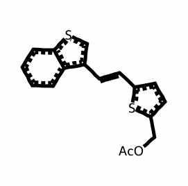 CC(=O)OCc1ccc(C=Cc2csc3ccccc23)s1